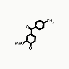 COC1=CC(C(=O)c2ccc(C)cc2)=CCC1=O